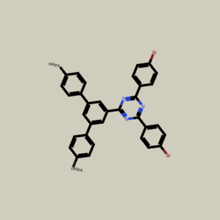 CCCCCCc1ccc(-c2cc(-c3ccc(CCCCCC)cc3)cc(-c3nc(-c4ccc(Br)cc4)nc(-c4ccc(Br)cc4)n3)c2)cc1